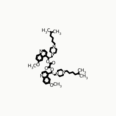 COc1ccc2nccc([C@@H](CN3CCN(CCCCC(C)C)CC3)OC(=O)C(=O)O[C@H](CN3CCN(CCCCC(C)C)CC3)c3ccnc4ccc(OC)cc34)c2c1